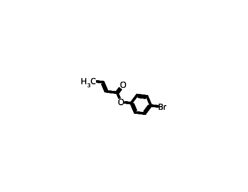 C/C=C/C(=O)Oc1ccc(Br)cc1